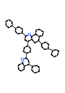 c1ccc(-c2ccc(-c3cc(-c4ccc(-c5cc(-c6ccccc6)c6ccccc6n5)cc4)c4cc(-c5ccc(-c6ccccc6)cc5)c5ccccc5c4n3)cc2)cc1